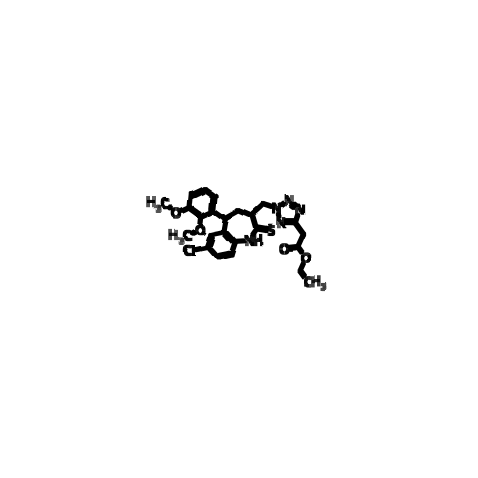 CCOC(=O)Cc1nnn(CC2CC(c3cccc(OC)c3OC)c3cc(Cl)ccc3NC2=S)n1